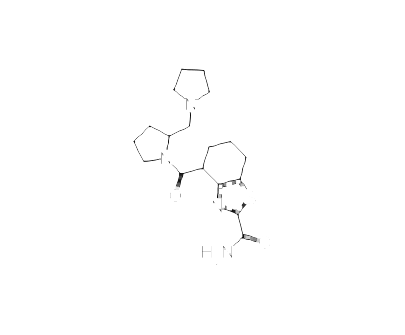 NC(=O)c1nc2c(s1)CCCC2C(=O)N1CCCC1CN1CCCC1